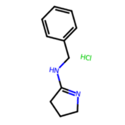 Cl.c1ccc(CNC2=NCCC2)cc1